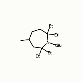 CCC1(CC)CCC(C)CC(CC)(CC)N1C(C)(C)C